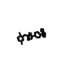 Cc1ccc(C)c(Cc2nc(-c3ccc(S(C)(=O)=O)cc3)cs2)c1